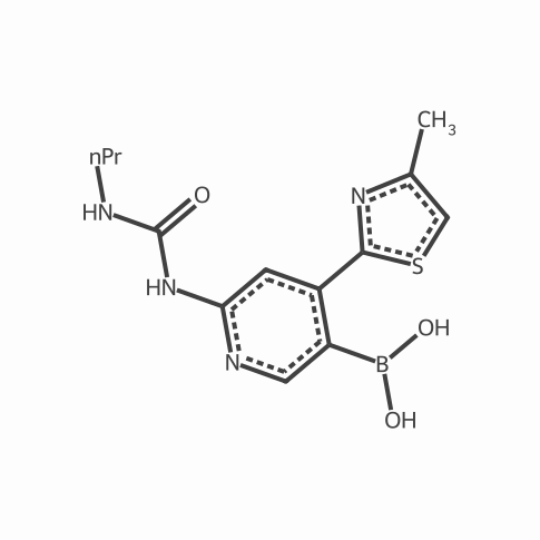 CCCNC(=O)Nc1cc(-c2nc(C)cs2)c(B(O)O)cn1